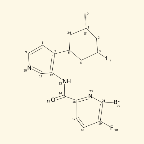 C[C@@H]1CC(I)CC(c2ccncc2NC(=O)c2ccc(F)c(Br)n2)C1